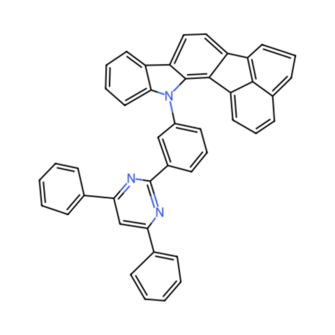 c1ccc(-c2cc(-c3ccccc3)nc(-c3cccc(-n4c5ccccc5c5ccc6c(c54)-c4cccc5cccc-6c45)c3)n2)cc1